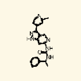 Cc1cc(-c2n[nH]c3cc(NC(=O)NC(C)c4ccccc4)ncc23)ccn1